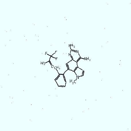 Cc1ccccc1-c1cc2nc(N)nc(N)c2c2ccn(C)c12.O=C(O)C(F)(F)F